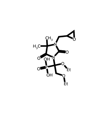 CCOCC(OCC)(N1C(=O)N(CC2CO2)C(C)(C)C1=O)P(=O)(O)O